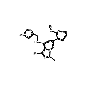 CCOc1ncccc1-c1cc(NCc2cn(C)cn2)c2c(C(C)C)nc(C)n2n1